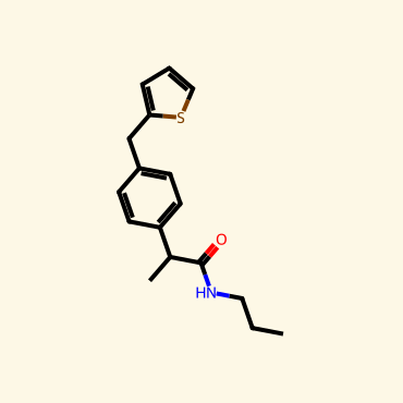 CCCNC(=O)C(C)c1ccc(Cc2cccs2)cc1